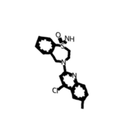 Cc1ccc2nc(N3CCS(=N)(=O)c4ccccc4C3)cc(Cl)c2c1